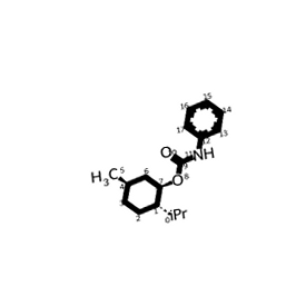 CC(C)[C@@H]1CC[C@@H](C)C[C@H]1OC(=O)Nc1ccccc1